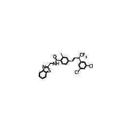 Cc1cc(/C=C/C(c2cc(Cl)cc(Cl)c2)C(F)(F)F)ccc1C(=O)NCc1nc2ccccc2s1